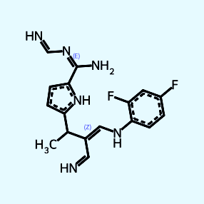 CC(/C(C=N)=C/Nc1ccc(F)cc1F)c1ccc(/C(N)=N\C=N)[nH]1